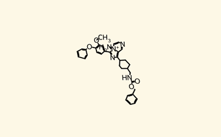 COc1cc(C2=NC(C3CCC(CNC(=O)OCc4ccccc4)CC3)=C3C=NC=C[N+]23N)ccc1Oc1ccccc1